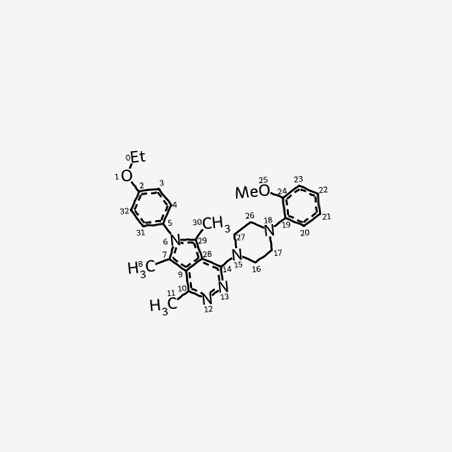 CCOc1ccc(-n2c(C)c3c(C)nnc(N4CCN(c5ccccc5OC)CC4)c3c2C)cc1